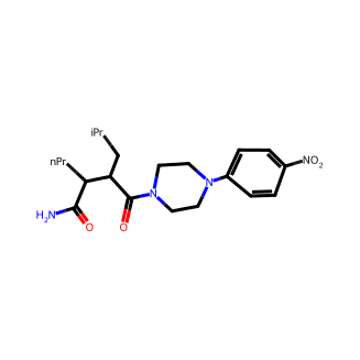 CCCC(C(N)=O)C(CC(C)C)C(=O)N1CCN(c2ccc([N+](=O)[O-])cc2)CC1